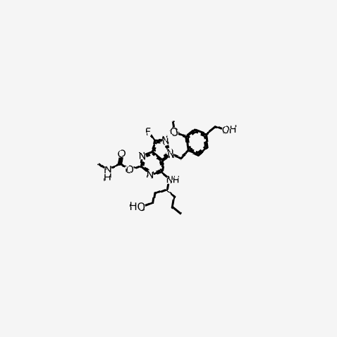 CCC[C@@H](CCO)Nc1nc(OC(=O)NC)nc2c(F)nn(Cc3ccc(CO)cc3OC)c12